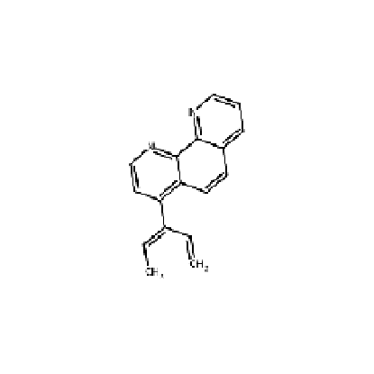 C=C/C(=C\C)c1ccnc2c1ccc1cccnc12